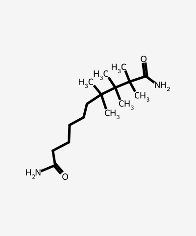 CC(C)(CCCCCC(N)=O)C(C)(C)C(C)(C)C(N)=O